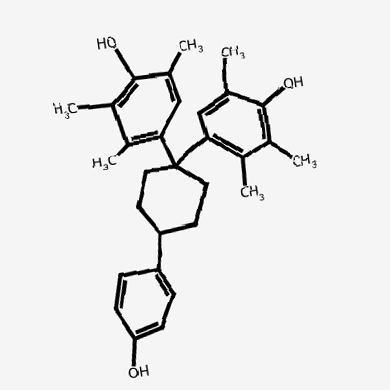 Cc1cc(C2(c3cc(C)c(O)c(C)c3C)CCC(c3ccc(O)cc3)CC2)c(C)c(C)c1O